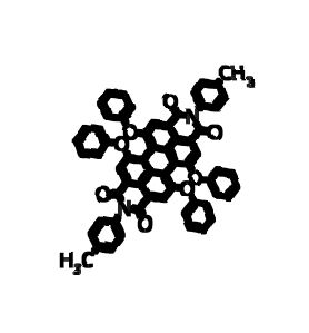 Cc1ccc(N2C(=O)c3cc(Oc4ccccc4)c4c5c(Oc6ccccc6)cc6c7c(cc(Oc8ccccc8)c(c8c(Oc9ccccc9)cc(c3c48)C2=O)c75)C(=O)N(c2ccc(C)cc2)C6=O)cc1